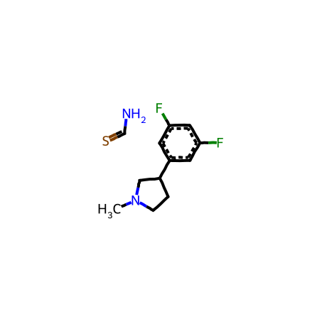 CN1CCC(c2cc(F)cc(F)c2)C1.NC=S